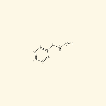 CCCCCNCc1ccncc1